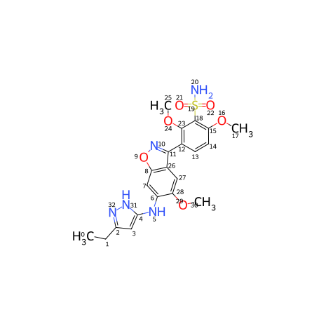 CCc1cc(Nc2cc3onc(-c4ccc(OC)c(S(N)(=O)=O)c4OC)c3cc2OC)[nH]n1